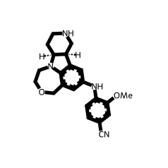 COc1cc(C#N)ccc1Nc1cc2c3c(c1)[C@@H]1CNCC[C@@H]1N3CCOC2